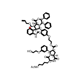 C=CCOC(=O)[C@H]1[C@@H]2C(=O)O[C@@H](c3ccccc3)[C@@H](c3ccccc3)N2[C@@H](c2ccc(OCCOC(=O)[C@H]3C[C@H]4C(=O)N[C@@H](CCCCNC(C)=O)C(=O)N4[C@H]3c3cccc(OCCO)c3)cc2)[C@]12C(=O)Nc1ccccc12